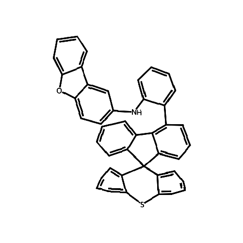 c1ccc(-c2cccc3c2-c2ccccc2C32c3ccccc3Sc3ccccc32)c(Nc2ccc3oc4ccccc4c3c2)c1